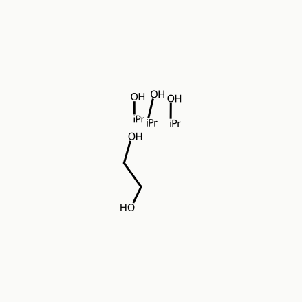 CC(C)O.CC(C)O.CC(C)O.OCCO